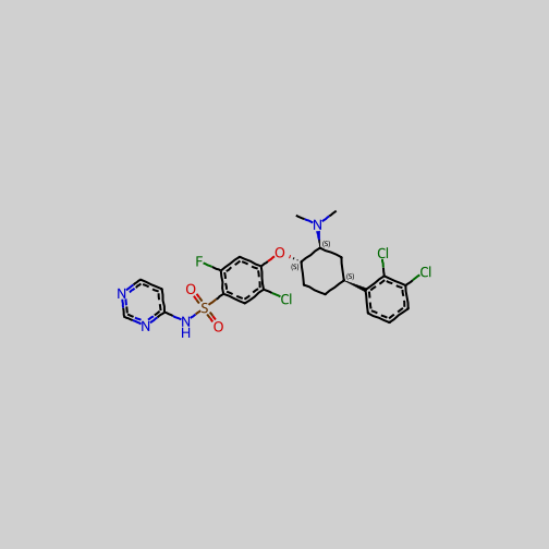 CN(C)[C@H]1C[C@@H](c2cccc(Cl)c2Cl)CC[C@@H]1Oc1cc(F)c(S(=O)(=O)Nc2ccncn2)cc1Cl